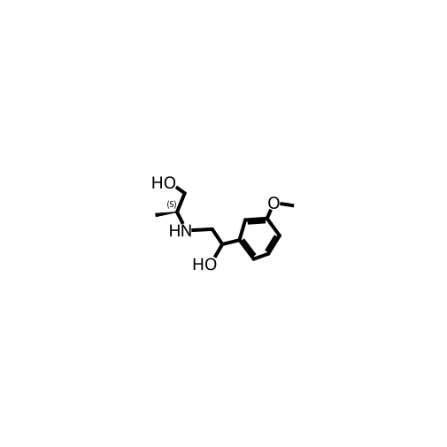 COc1cccc(C(O)CN[C@@H](C)CO)c1